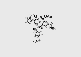 CCNC(=O)c1ccc(-c2cc3c(cc2C(=O)Nc2ccc(CN)cc2)-c2sccc2CCO3)c(C(=O)OC)n1